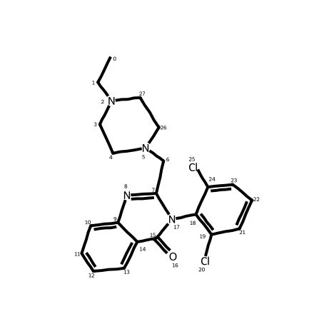 CCN1CCN(Cc2nc3ccccc3c(=O)n2-c2c(Cl)cccc2Cl)CC1